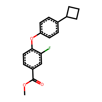 COC(=O)c1ccc(Oc2ccc(C3CCC3)cc2)c(F)c1